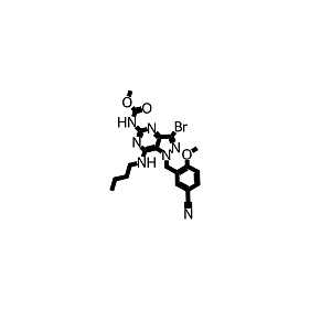 CCCCNc1nc(NC(=O)OC)nc2c(Br)nn(Cc3cc(C#N)ccc3OC)c12